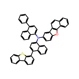 c1ccc(-c2ccc(N(c3ccc4oc5c6ccccc6ccc5c4c3)c3ccc(-c4cccc5c4sc4ccccc45)c4ccccc34)c3ccccc23)cc1